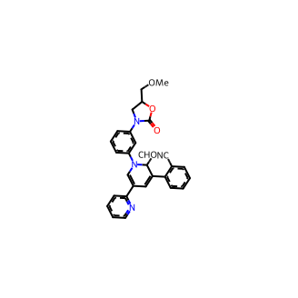 COCC1CN(c2cccc(N3C=C(c4ccccn4)C=C(c4ccccc4C#N)C3C=O)c2)C(=O)O1